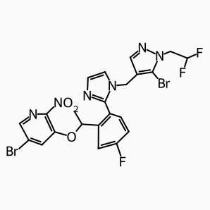 CC(Oc1cc(Br)cnc1[N+](=O)[O-])c1cc(F)ccc1-c1nccn1Cc1cnn(CC(F)F)c1Br